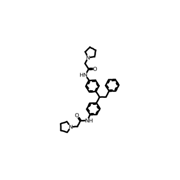 O=C(CN1CCCC1)Nc1ccc(C(Cc2ccccc2)c2ccc(NC(=O)CN3CCCC3)cc2)cc1